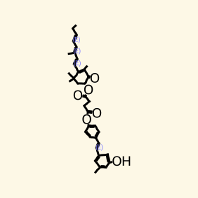 CC/C=C/C=C(C)/C=C/C1=C(C)C(=O)C(OC(=O)CCC(=O)Oc2ccc(/C=C/c3cc(C)cc(O)c3)cc2)CC1(C)C